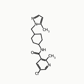 Cc1ncc(Cl)cc1C(=O)NC1CCC(Cn2nccc2C)CC1